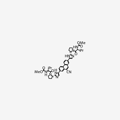 COC(=O)NC(C(=O)N1CCC[C@H]1c1ncc(-c2ccc3c(c2)cc(C#N)c2cc(-c4cnc([C@@H]5CCCN5C(=O)[C@@H](NC(=O)OC)C(C)C)[nH]4)ccc23)[nH]1)C(C)C